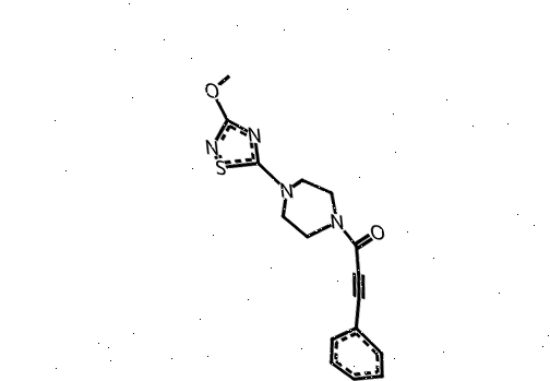 COc1nsc(N2CCN(C(=O)C#Cc3ccccc3)CC2)n1